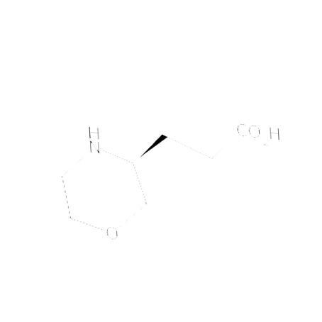 O=C(O)CC[C@H]1COCCN1